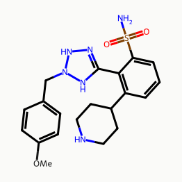 COc1ccc(CN2NN=C(c3c(C4CCNCC4)cccc3S(N)(=O)=O)N2)cc1